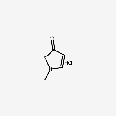 Cl.Cn1ccc(=O)s1